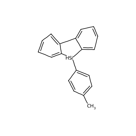 Cc1ccc([SiH]2c3ccccc3-c3ccccc32)cc1